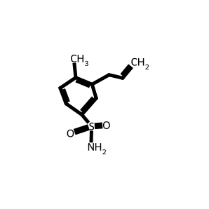 C=CCc1cc(S(N)(=O)=O)ccc1C